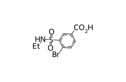 CCNS(=O)(=O)c1cc(C(=O)O)ccc1Br